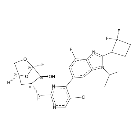 CC(C)n1c(C2CCC2(F)F)nc2c(F)cc(-c3nc(N[C@@H]4C[C@H]5CO[C@H](O5)[C@H]4O)ncc3Cl)cc21